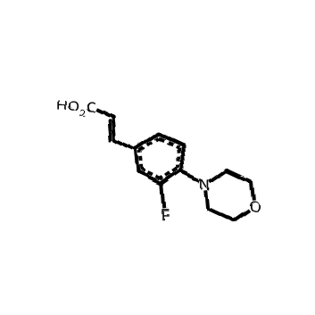 O=C(O)/C=C/c1ccc(N2CCOCC2)c(F)c1